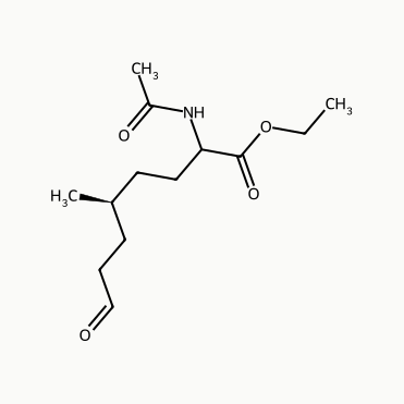 CCOC(=O)C(CC[C@H](C)CCC=O)NC(C)=O